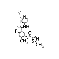 Cc1ncc(C(=O)Nc2cc(C(=O)Nc3ccnc(CC4CC4)n3)c(F)cc2C)s1